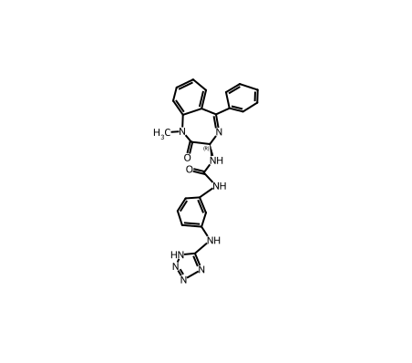 CN1C(=O)[C@H](NC(=O)Nc2cccc(Nc3nnn[nH]3)c2)N=C(c2ccccc2)c2ccccc21